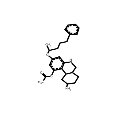 CC(=O)Oc1cc(OC(C)CCCc2ccccc2)cc2c1C1CC(N)CCC1CN2